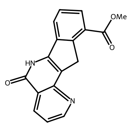 COC(=O)c1cccc2c1Cc1c-2[nH]c(=O)c2cccnc12